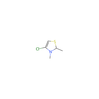 CC1SC=C(Cl)N1C